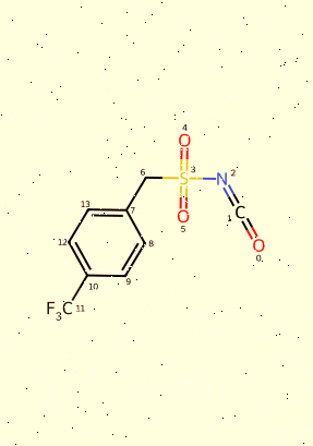 O=C=NS(=O)(=O)Cc1ccc(C(F)(F)F)cc1